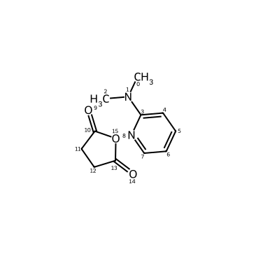 CN(C)c1ccccn1.O=C1CCC(=O)O1